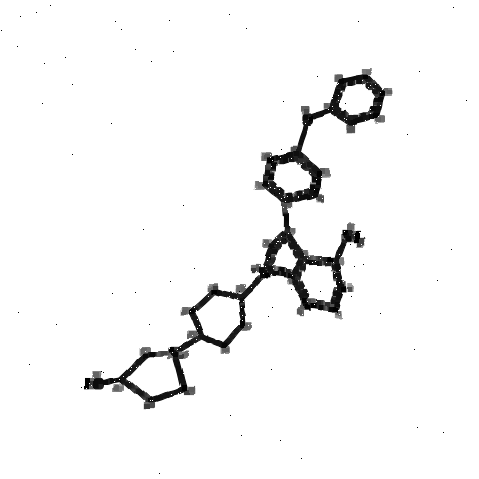 Nc1ncnc2c1c(-c1ccc(Oc3ccccc3)cc1)cn2C1CCC(N2CCC(O)C2)CC1